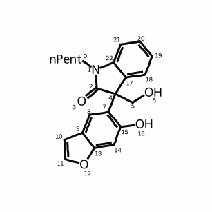 CCCCCN1C(=O)C(CO)(c2cc3ccoc3cc2O)c2ccccc21